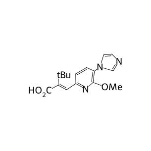 COc1nc(/C=C(/C(=O)O)C(C)(C)C)ccc1-n1ccnc1